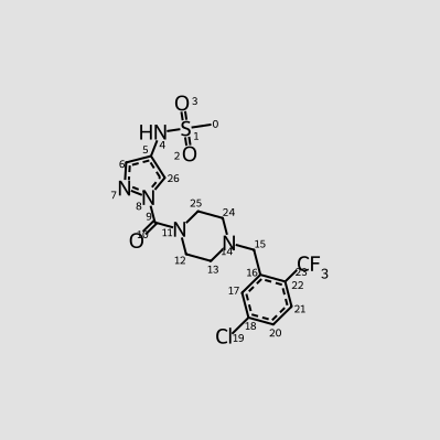 CS(=O)(=O)Nc1cnn(C(=O)N2CCN(Cc3cc(Cl)ccc3C(F)(F)F)CC2)c1